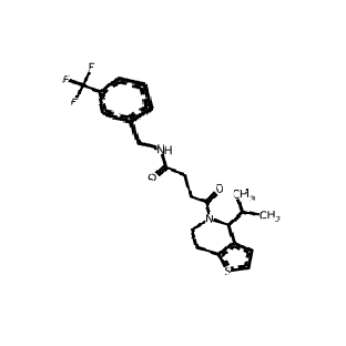 CC(C)C1c2ccsc2CCN1C(=O)CCC(=O)NCc1cccc(C(F)(F)F)c1